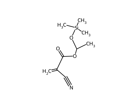 C=C(C#N)C(=O)OC(C)O[Si](C)(C)C